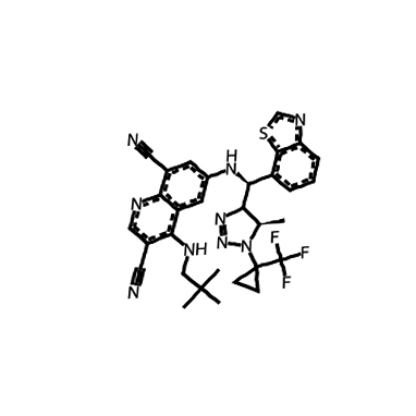 C[C@@H]1C([C@@H](Nc2cc(C#N)c3ncc(C#N)c(NCC(C)(C)C)c3c2)c2cccc3ncsc23)N=NN1C1(C(F)(F)F)CC1